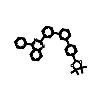 CC1(C)OB(c2ccc(-c3cccc(-c4cccc(-c5nc(-c6ccccc6)c6ccccc6n5)c4)c3)cc2)OC1(C)C